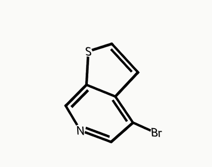 Brc1cncc2sccc12